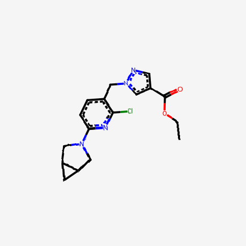 CCOC(=O)c1cnn(Cc2ccc(N3CC4CC4C3)nc2Cl)c1